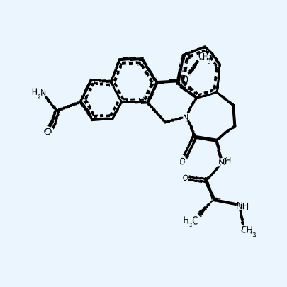 CN[C@@H](C)C(=O)NC1CCc2ccccc2N(Cc2c(OC)ccc3cc(C(N)=O)ccc23)C1=O